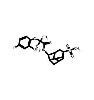 CC(C)(Oc1ccc(F)cc1Cl)C(=S)NC1C2CC3CC1CC(S(C)(=O)=O)(C3)C2